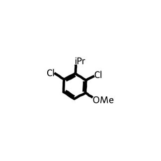 COc1ccc(Cl)c(C(C)C)c1Cl